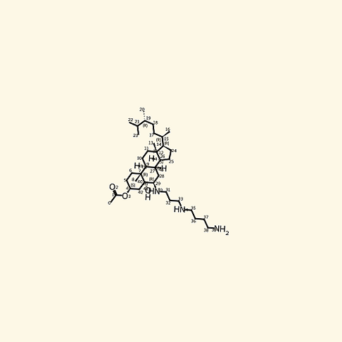 CC(=O)O[C@H]1CC[C@]2(C)[C@H]3CC[C@]4(C)[C@@H]([C@H](C)CC[C@@H](C)C(C)C)CC[C@H]4[C@@H]3C[C@@H](NCCCNCCCCN)[C@@]2(O)C1